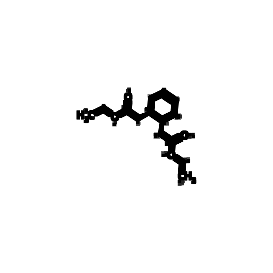 CCOC(=O)C[C@H]1CC=CC[C@H]1CC(=O)OCC